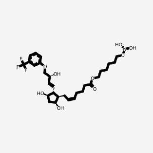 O=C(CCC/C=C\C[C@@H]1[C@@H](/C=C/[C@@H](O)COc2cccc(C(F)(F)F)c2)[C@H](O)C[C@@H]1O)OCCCCCCON(O)O